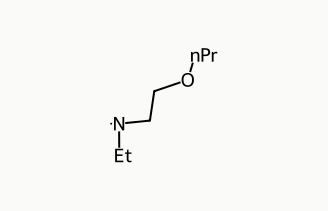 CCCOCC[N]CC